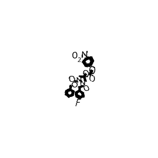 O=C(Oc1ccc([N+](=O)[O-])cc1)OC1CN(C(=O)Cc2ccc(F)cc2)N(C(=O)OCc2ccccc2)C1